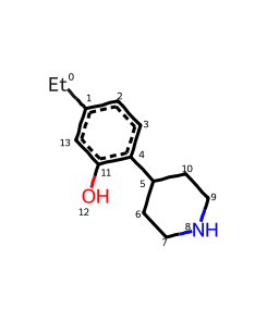 CCc1ccc(C2CCNCC2)c(O)c1